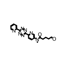 CN(C(=O)CCCC=O)c1ccc(-c2nnc(-c3ccccn3)nn2)nc1